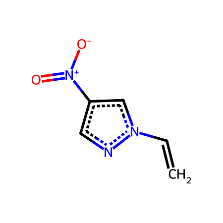 C=Cn1cc([N+](=O)[O-])cn1